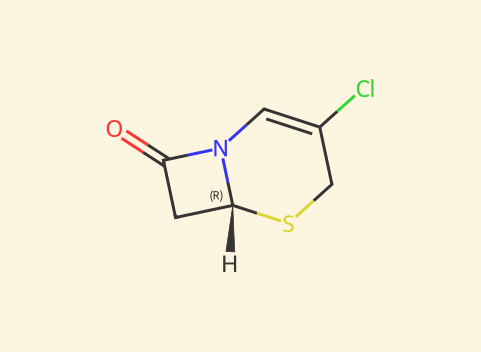 O=C1C[C@H]2SCC(Cl)=CN12